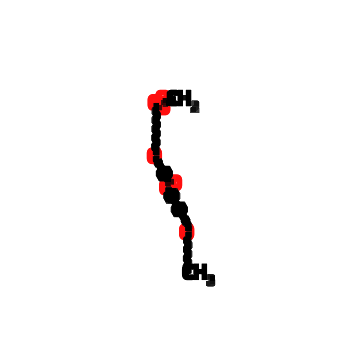 C=CC(=O)OC(=O)CCCCCCCCCCOC#Cc1ccc(C(=O)Oc2ccc(-c3ccc(C#CCOCCCCCCCCC)cc3)cc2)cc1